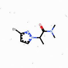 CCc1ccn(C(C)C(=O)N(C)C)n1